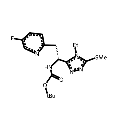 CCn1c(SC)nnc1[C@@H](Cc1ccc(F)cn1)NC(=O)OC(C)(C)C